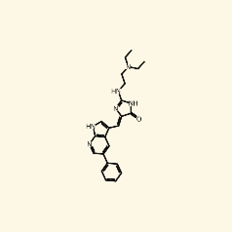 CCN(CC)CCNC1=N/C(=C\c2c[nH]c3ncc(-c4ccccc4)cc23)C(=O)N1